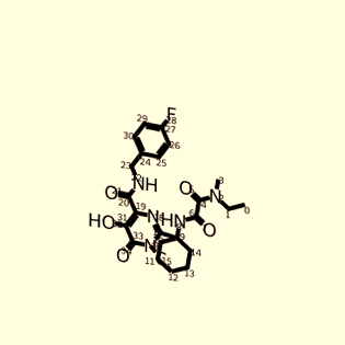 CCN(C)C(=O)C(=O)NC12CCC(CC1)Cn1c2nc(C(=O)NCc2ccc(F)cc2)c(O)c1=O